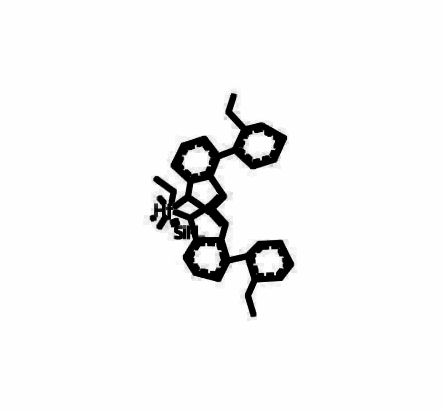 CCc1ccccc1-c1cccc2c1C=C[CH]2[Hf]([CH3])([CH3])([CH3])(=[SiH2])([CH2]C)[CH]1C=Cc2c(-c3ccccc3CC)cccc21